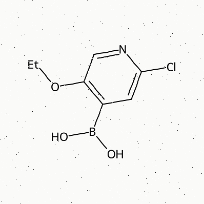 CCOc1cnc(Cl)cc1B(O)O